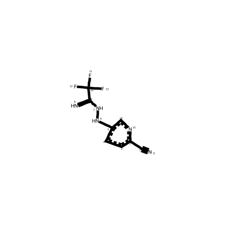 N#Cc1ccc(NNC(=N)C(F)(F)F)cn1